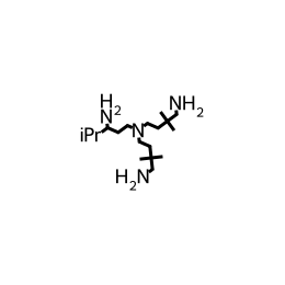 CC(C)C(N)CCN(CCC(C)(C)CN)CCC(C)(C)CN